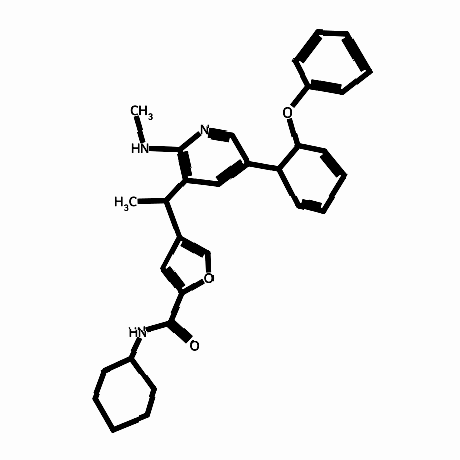 CNc1ncc(C2C=CC=CC2Oc2ccccc2)cc1C(C)c1coc(C(=O)NC2CCCCC2)c1